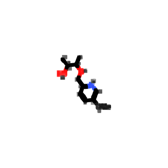 COc1ccc(COC(C)[C@H](C)O)nc1